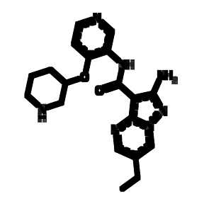 CCc1cnc2c(C(=O)Nc3cnccc3OC3CCCNC3)c(N)nn2c1